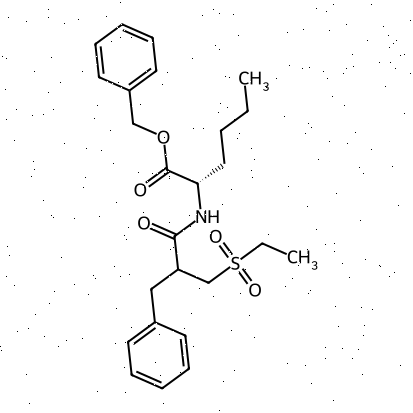 CCCC[C@H](NC(=O)C(Cc1ccccc1)CS(=O)(=O)CC)C(=O)OCc1ccccc1